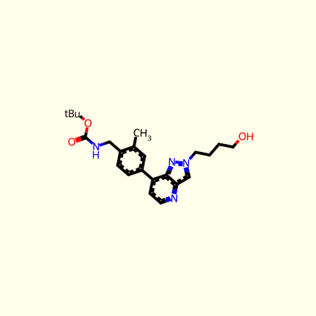 Cc1cc(-c2ccnc3cn(CCCCO)nc23)ccc1CNC(=O)OC(C)(C)C